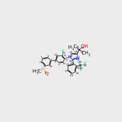 C[S@@+]([O-])c1cccc(-c2ccc(-n3cc(C(C)(C)O)nc3-c3ccccc3C(F)(F)F)c(F)c2)c1